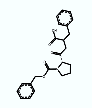 O=C(O)C(CC(=O)[C@@H]1CCCN1C(=O)OCc1ccccc1)Cc1ccccc1